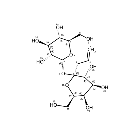 C=CC[C@@]1(O[C@H]2O[C@H](CO)[C@@H](O)[C@H](O)[C@H]2O)O[C@H](CO)[C@H](O)[C@H](O)[C@H]1O